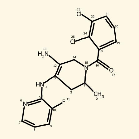 CC1CC(Nc2ncccc2F)=C(N)CN1C(=O)c1cccc(Cl)c1Cl